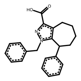 O=C(O)c1nn(Cc2ccccc2)c2c1CCCCC2c1ccccc1